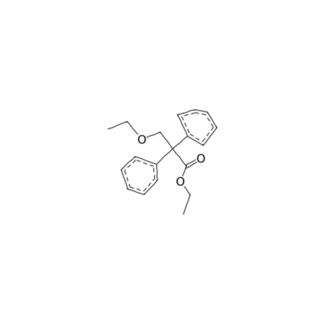 CCOCC(C(=O)OCC)(c1ccccc1)c1ccccc1